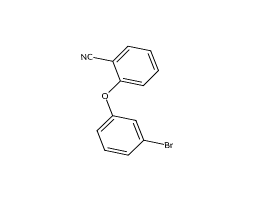 N#Cc1ccccc1Oc1cccc(Br)c1